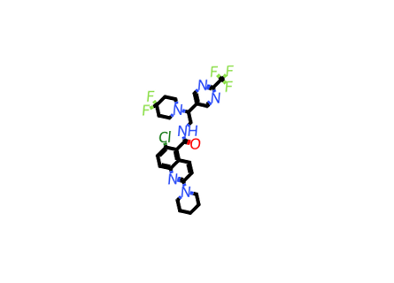 O=C(NCC(c1cnc(C(F)(F)F)nc1)N1CCC(F)(F)CC1)c1c(Cl)ccc2nc(N3CCCCC3)ccc12